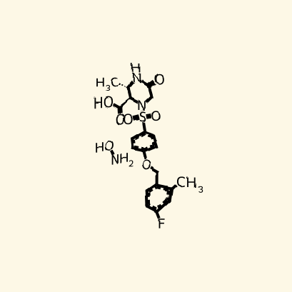 Cc1cc(F)ccc1COc1ccc(S(=O)(=O)N2CC(=O)N[C@@H](C)[C@@H]2C(=O)O)cc1.NO